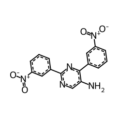 Nc1cnc(-c2cccc([N+](=O)[O-])c2)nc1-c1cccc([N+](=O)[O-])c1